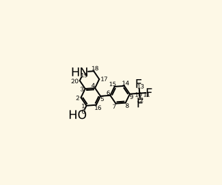 Oc1cc2c(c(-c3ccc(C(F)(F)F)cc3)c1)CCNC2